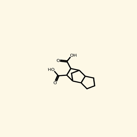 O=C(O)C1C2CC(C3CCCC32)C1C(=O)O